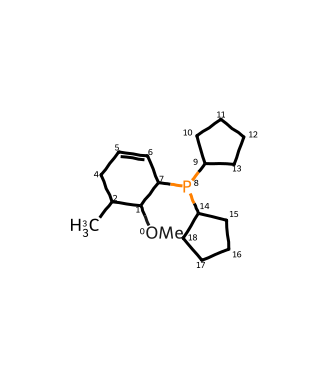 COC1C(C)CC=CC1P(C1CCCC1)C1CCCC1